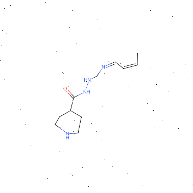 C/C=C\C=N/CNNC(=O)C1CCNCC1